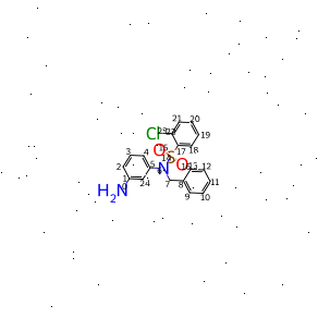 Nc1cccc(N(Cc2ccccc2)S(=O)(=O)c2ccccc2Cl)c1